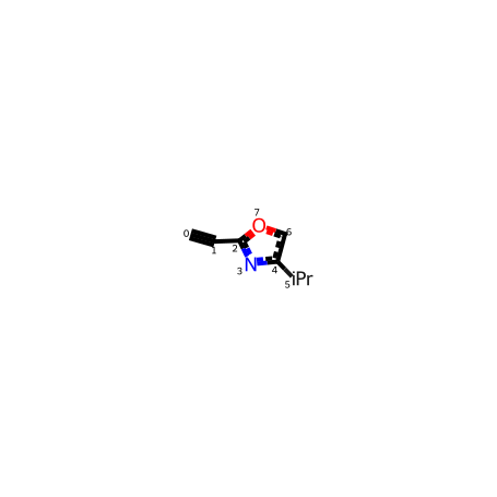 C#Cc1nc(C(C)C)co1